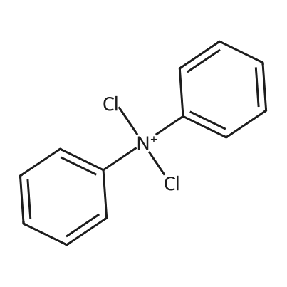 Cl[N+](Cl)(c1ccccc1)c1ccccc1